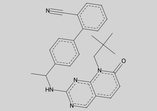 CC(Nc1ncc2ccc(=O)n(CC(C)(C)C)c2n1)c1ccc(-c2ccccc2C#N)cc1